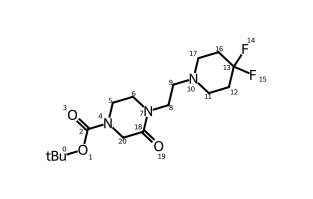 CC(C)(C)OC(=O)N1CCN(CCN2CCC(F)(F)CC2)C(=O)C1